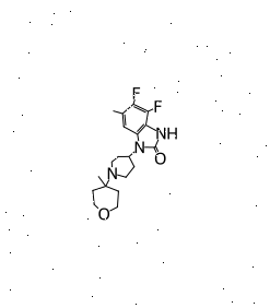 Cc1cc2c([nH]c(=O)n2C2CCN(C3(C)CCOCC3)CC2)c(F)c1F